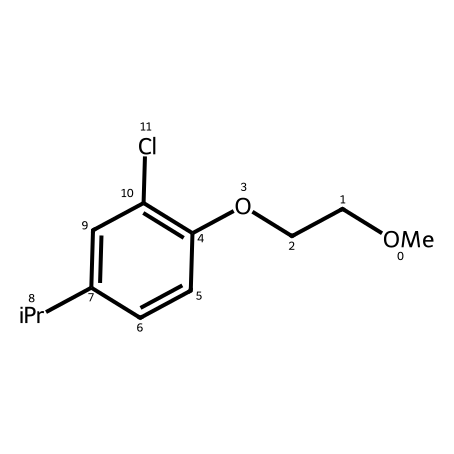 COCCOc1ccc(C(C)C)cc1Cl